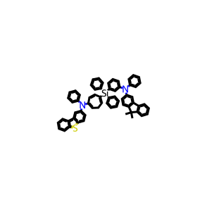 CC1(C)c2ccccc2-c2cc(N(c3ccccc3)c3cccc([Si](C4=CCC=C(N(c5ccccc5)c5ccc6sc7ccccc7c6c5)C=C4)(c4ccccc4)c4ccccc4)c3)ccc21